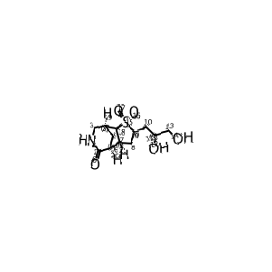 O=C1NC[C@@H]2C[C@H]1[C@H]1C[C@H](C[C@H](O)CO)S(=O)(=O)C21